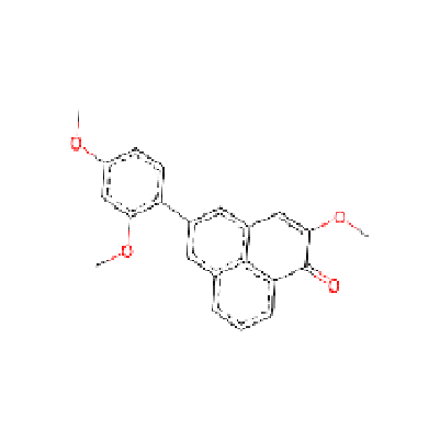 COC1=Cc2cc(-c3ccc(OC)cc3OC)cc3cccc(c23)C1=O